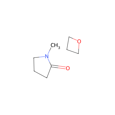 C1COC1.CN1CCCC1=O